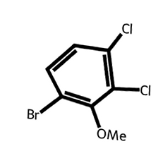 COc1c(Br)ccc(Cl)c1Cl